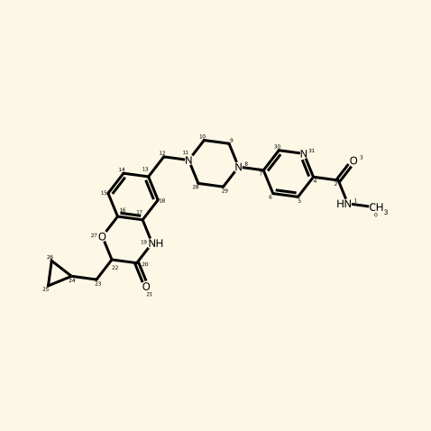 CNC(=O)c1ccc(N2CCN(Cc3ccc4c(c3)NC(=O)C(CC3CC3)O4)CC2)cn1